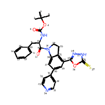 CC(C)(C)OC(=O)NC(Cc1ccccc1)C(=O)N1CCc2c(-c3n[nH]c(=S)o3)cc(-c3ccncc3)cc21